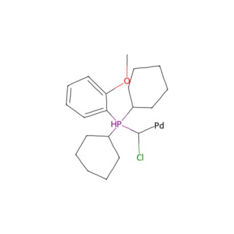 COc1ccccc1[PH]([CH](Cl)[Pd])(C1CCCCC1)C1CCCCC1